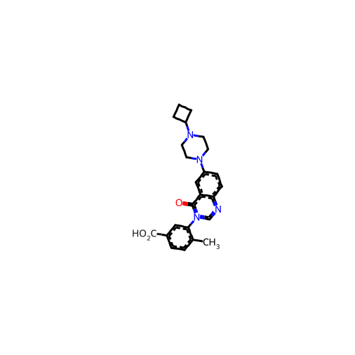 Cc1ccc(C(=O)O)cc1-n1cnc2ccc(N3CCN(C4CCC4)CC3)cc2c1=O